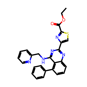 CCOC(=O)c1nc(-c2nc(NCc3ccccn3)c3c(-c4ccccc4)cccc3n2)cs1